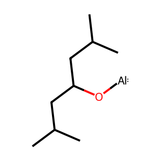 CC(C)CC(CC(C)C)[O][Al]